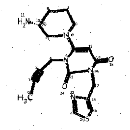 CC#CCn1c(N2CCC[C@@H](N)C2)cc(=O)n(Cc2cscn2)c1=O